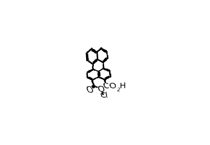 O=C(O)c1ccc2c3cccc4cccc(c5ccc(C(=O)OCl)c1c25)c43